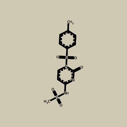 Cc1ccc(S(=O)(=O)n2ccc(NS(C)(=O)=O)nc2=O)cc1